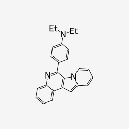 CCN(CC)c1ccc(-c2nc3ccccc3c3cc4ccccn4c23)cc1